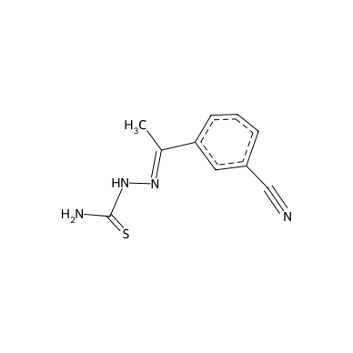 CC(=NNC(N)=S)c1cccc(C#N)c1